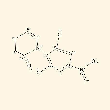 C=[N+]([O-])c1cc(Cl)c(-n2ccccc2=O)c(Cl)c1